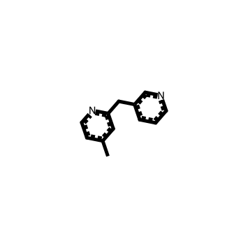 Cc1ccnc(Cc2cccnc2)c1